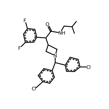 CC(C)CNC(=O)C(c1cc(F)cc(F)c1)C1CN(C(c2ccc(Cl)cc2)c2ccc(Cl)cc2)C1